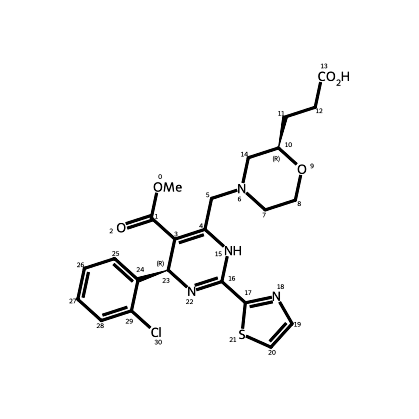 COC(=O)C1=C(CN2CCO[C@H](CCC(=O)O)C2)NC(c2nccs2)=N[C@H]1c1ccccc1Cl